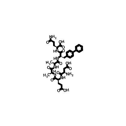 C[C@H](NC(=O)[C@H](C)NC(=O)[C@H](CCC(=O)O)NC(=O)[C@@H](N)CC(=O)O)C(=O)N[C@@H](Cc1ccc(-c2ccccc2)cc1)C(=O)N[C@@H](CCC(N)=O)C(=O)O